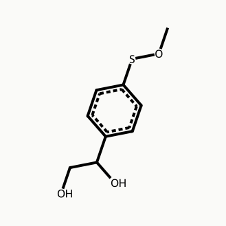 COSc1ccc(C(O)CO)cc1